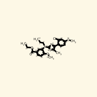 CCCN(c1nc(-c2ccc(OC)cc2Cl)c(C)s1)c1cc(C(=O)OCC)ccc1OC